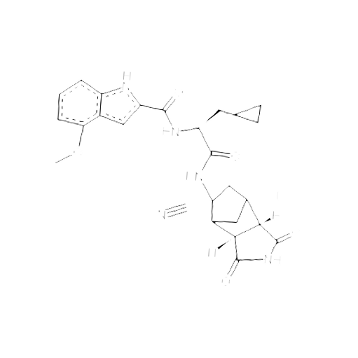 COc1cccc2[nH]c(C(=O)N[C@@H](CC3CC3)C(=O)N[C@@]3(C#N)C[C@@H]4CC3[C@H]3C(=O)NC(=O)[C@@H]43)cc12